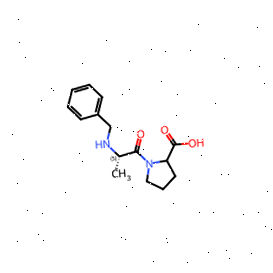 C[C@H](NCc1ccccc1)C(=O)N1CCCC1C(=O)O